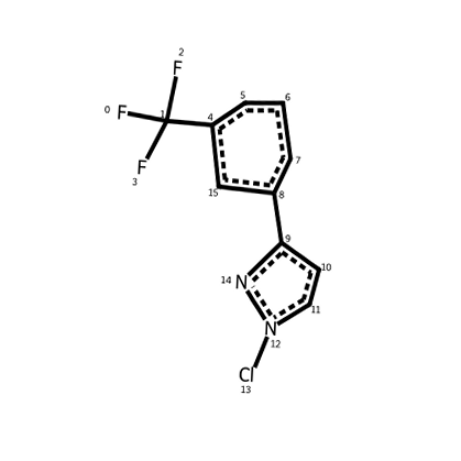 FC(F)(F)c1cccc(-c2ccn(Cl)n2)c1